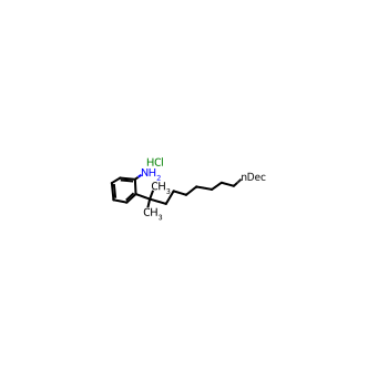 CCCCCCCCCCCCCCCCCC(C)(C)c1ccccc1N.Cl